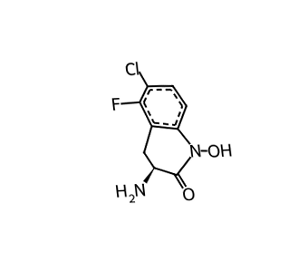 N[C@H]1Cc2c(ccc(Cl)c2F)N(O)C1=O